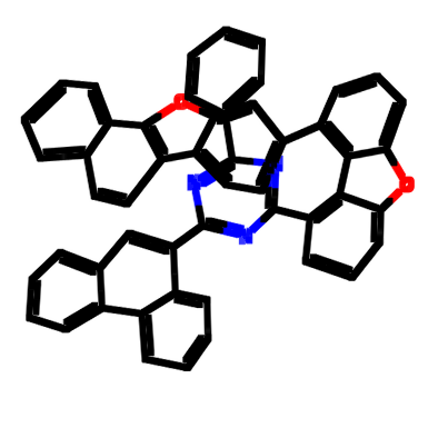 c1ccc(-c2nc(-c3cc4ccccc4c4ccccc34)nc(-c3cccc4oc5cccc(-c6ccc7c(c6)oc6c8ccccc8ccc76)c5c34)n2)cc1